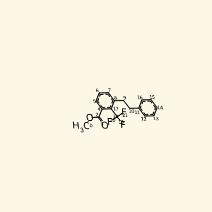 COC(=O)c1cccc(CCc2ccccc2)c1C(F)(F)F